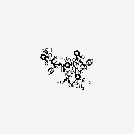 [C-]#[N+]/C(=C\c1sc(/N=N/c2cc(OC)c(N(CC)CC)cc2Nc2nc(Nc3cc(N(CC)CC)c(OC)cc3/N=N/c3nc(N4CCOCC4)c(/C=C(\C#N)N4C(=O)c5cccc(S(=O)(=O)O)c5C4=O)s3)nc(N(CCO)CCO)n2)nc1N1CCOCC1)N1C(=O)c2ccccc2C1=O